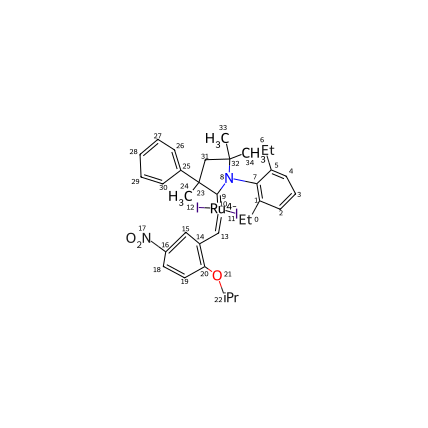 CCc1cccc(CC)c1N1[C](=[Ru-4]([I])([I])=[CH]c2cc([N+](=O)[O-])ccc2OC(C)C)C(C)(c2ccccc2)CC1(C)C